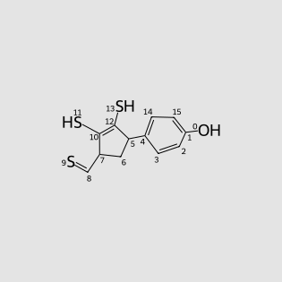 Oc1ccc(C2CC(C=S)C(S)=C2S)cc1